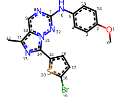 COc1ccc(Nc2ncc3c(C)nc(-c4ccc(Br)s4)n3n2)cc1